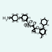 Cc1ccc(C2CCCCC2)c(OC2(C(=O)NS(=O)(=O)c3cccc(N4CCC(N)CC4)n3)CC2)c1